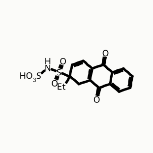 CCC1(S(=O)(=O)NS(=O)(=O)O)C=CC2=C(C1)C(=O)c1ccccc1C2=O